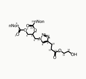 CCCCCCCCCC(=O)OCC(Cn1cc(CCC(=O)OCCO)nn1)OC(=O)CCCCCCCCC